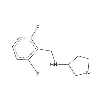 Fc1cccc(F)c1CNC1CC[N]C1